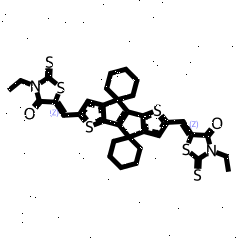 CCN1C(=O)/C(=C/c2cc3c(s2)C2=C(c4sc(/C=C5\SC(=S)N(CC)C5=O)cc4C24CCCCC4)C32CCCCC2)SC1=S